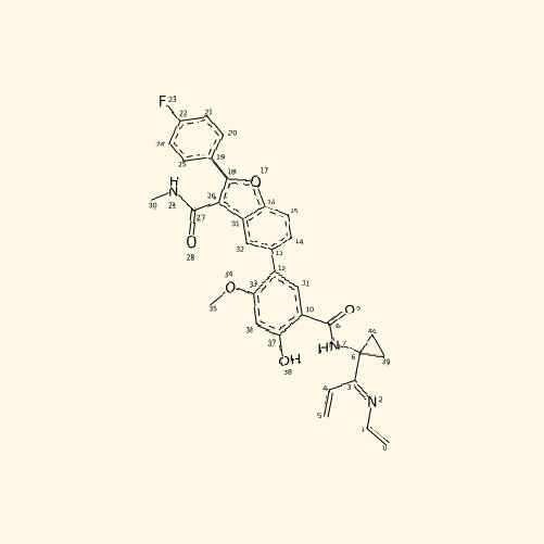 C=C/N=C(\C=C)C1(NC(=O)c2cc(-c3ccc4oc(-c5ccc(F)cc5)c(C(=O)NC)c4c3)c(OC)cc2O)CC1